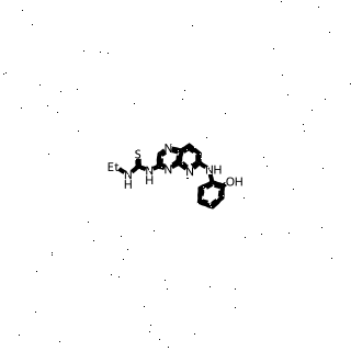 CCNC(=S)Nc1cnc2ccc(Nc3ccccc3O)nc2n1